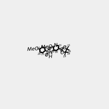 COc1ccc(S(=O)(=O)Nc2cc(B3OC(C)(C)C(C)(C)O3)cnc2OC)cc1